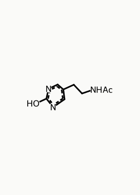 CC(=O)NCCc1cnc(O)nc1